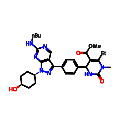 CCCCNc1ncc2c(-c3ccc(C4NC(=O)N(C)C(CC)=C4C(=O)OC)cc3)nn([C@H]3CC[C@H](O)CC3)c2n1